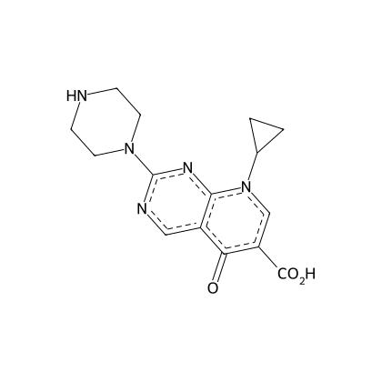 O=C(O)c1cn(C2CC2)c2nc(N3CCNCC3)ncc2c1=O